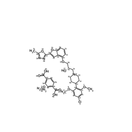 COc1cc(Cl)cc(OC)c1C1CCN(C[C@H](O)COc2cccc3oc(-c4nnc(C)o4)cc23)CC1.O.O.O=C(O)c1ccc(C(=O)O)cc1